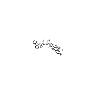 Nc1cc(F)ccc1NC(=O)c1ccc(NCCCNC(=O)C=C2c3ccccc3-c3ccccc32)nc1